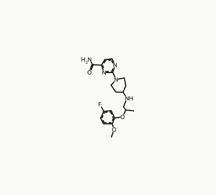 COc1ccc(F)cc1OC(C)CNC1CCN(c2nccc(C(N)=O)n2)CC1